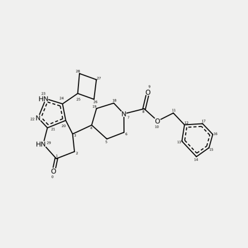 O=C1CC(C2CCN(C(=O)OCc3ccccc3)CC2)c2c(n[nH]c2C2CCC2)N1